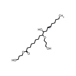 CCCCC/C=C/CC(O)C(CCCCCCCC(=O)OCCCO)OCCCO